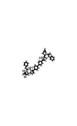 O=C([CH]c1ccccc1)N1C(c2ncc(-c3ccc(-c4ccc(-c5cnc([C@@H]6C[C@@H]7C[C@@H]7N6C(=O)[CH]c6ccccc6)[nH]5)cc4)cc3)[nH]2)CC2CC21